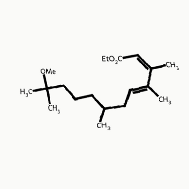 CCOC(=O)C=C(C)C(C)=CCC(C)CCCC(C)(C)OC